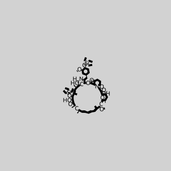 CC[Si](CC)(CC)OC1CC[C@@H](C[C@@H](N)[C@@H]2C[C@@H](O)[C@H](C)/C=C(\C)C(O[Si](CC)(CC)CC)[C@@H](O)C(=O)[C@H](C)C[C@H](C)/C=C/C=C/C=C(\C)[C@@H](OC)C[C@@H]3CC[C@@H](C)[C@@](O)(O3)C(=O)C(=O)N3CCCC[C@H]3C(=O)O2)C[C@H]1OC